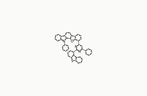 c1ccc(-c2cc(-c3cccc4c3oc3c4ccc4c5ccccc5n(-c5ccccc5)c43)nc(-c3cccc4sc5ccccc5c34)n2)cc1